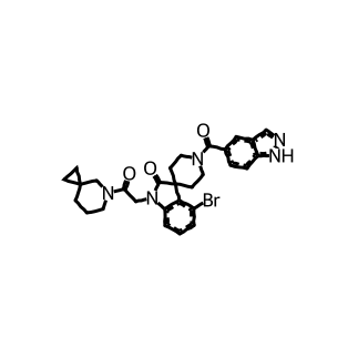 O=C(CN1C(=O)C2(CCN(C(=O)c3ccc4[nH]ncc4c3)CC2)c2c(Br)cccc21)N1CCCC2(CC2)C1